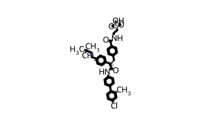 Cc1cc(Cl)ccc1-c1ccc(NC(=O)[C@H](Cc2ccc(C(=O)NCCS(=O)(=O)O)cc2)c2ccc(/C=C/C(C)(C)C)cc2)cc1